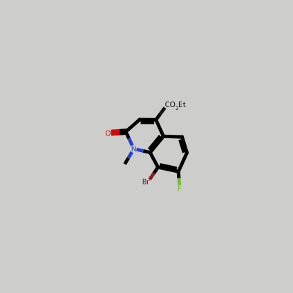 CCOC(=O)c1cc(=O)n(C)c2c(Br)c(F)ccc12